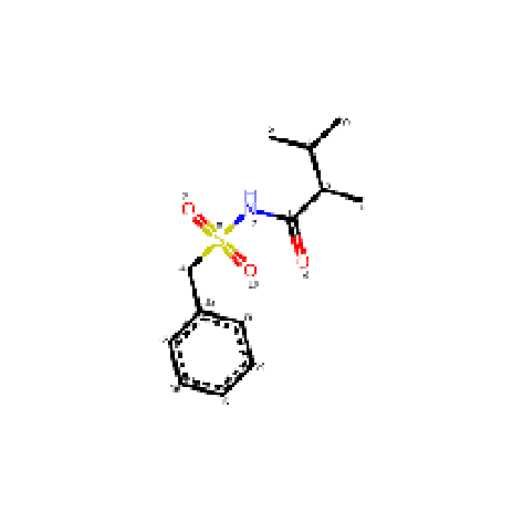 CC(C)C(C)C(=O)NS(=O)(=O)Cc1ccccc1